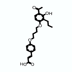 CCCc1c(OCCCCOc2ccc(C=CC(=O)O)cc2)ccc(C(C)=O)c1O